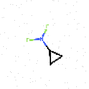 FN(F)C1CC1